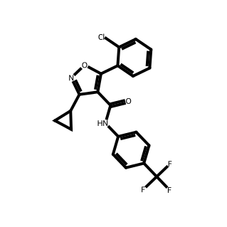 O=C(Nc1ccc(C(F)(F)F)cc1)c1c(C2CC2)noc1-c1ccccc1Cl